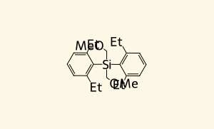 CCc1cccc(CC)c1[Si](COC)(COC)c1c(CC)cccc1CC